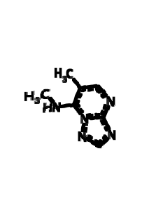 CNc1c(C)cnc2ncnn12